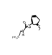 CCNC(=O)OC1=CC=CCC1=S